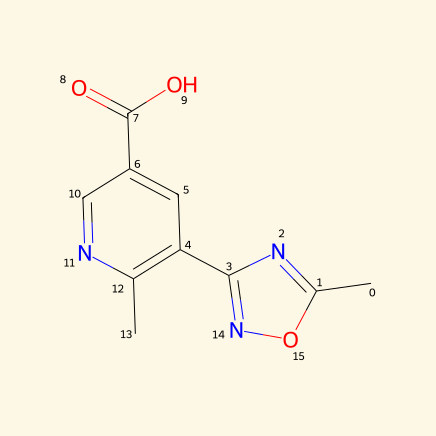 Cc1nc(-c2cc(C(=O)O)cnc2C)no1